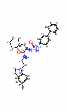 O=C(Nc1ccc(-c2ccccc2)cc1)N[C@@H](CC1CCCCC1)C(=O)NCCN1CCc2cc(F)ccc21